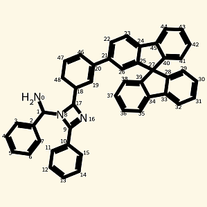 NC(c1ccccc1)N1C(c2ccccc2)=NC1C1C=C(c2ccc3c(c2)C2(c4ccccc4-c4ccccc42)c2ccccc2-3)C=CC1